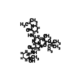 CC(C)n1cccc(Nc2cc(N(C)C(=O)OC(C)(C)C)n3ncc(C(=O)N[C@H]4CCCC[C@]4(C)O)c3n2)c1=O